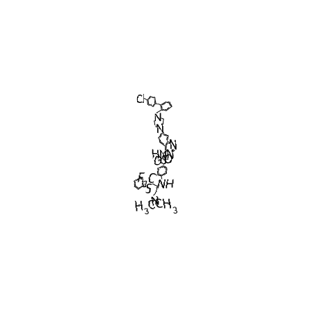 CN(C)CCC(CSc1ccccc1)Nc1ccc(S(=O)(=O)Nc2ncnc3cc(N4CCN(Cc5ccccc5-c5ccc(Cl)cc5)CC4)ccc23)cc1C(F)(F)F